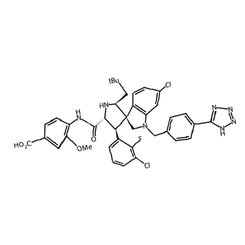 COc1cc(C(=O)O)ccc1NC(=O)[C@@H]1N[C@@H](CC(C)(C)C)[C@@]2(CN(Cc3ccc(-c4nnn[nH]4)cc3)c3cc(Cl)ccc32)[C@H]1c1cccc(Cl)c1F